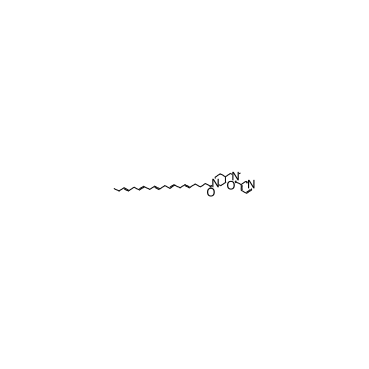 CCC=CCC=CCC=CCC=CCC=CCCCC(=O)N1CCC(CN(C)C(=O)c2cccnc2)CC1